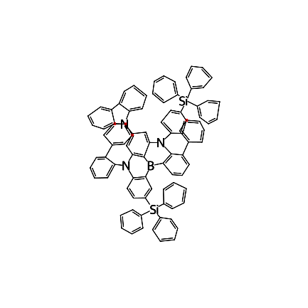 c1ccc(-c2ccccc2N2c3ccc([Si](c4ccccc4)(c4ccccc4)c4ccccc4)cc3B3c4cccc(-c5ccccc5)c4N(c4ccc([Si](c5ccccc5)(c5ccccc5)c5ccccc5)cc4)c4cc(-n5c6ccccc6c6ccccc65)cc2c43)cc1